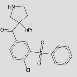 CCCC1(C(=O)c2ccc(Cl)c(S(=O)(=O)c3ccccc3)c2)CCNC1